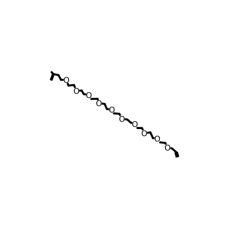 C#CCOCCOCCOCCOCCOCCOCCOCCOCCOCCOCCC(=C)C